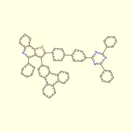 c1ccc(-c2nc(-c3ccccc3)nc(-c3ccc(-c4ccc(-c5sc6c(c(-c7ccccc7)nc7ccccc76)c5-c5ccc6c7ccccc7c7ccccc7c6c5)cc4)cc3)n2)cc1